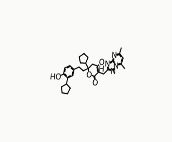 Cc1cc(C)n2nc(CC3=C(O)CC(CCc4ccc(O)c(C5CCCC5)c4)(C4CCCC4)OC3=O)nc2n1